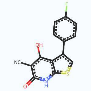 N#Cc1c(O)c2c(-c3ccc(F)cc3)csc2[nH]c1=O